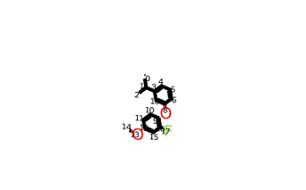 [CH2]C(C)c1cccc(Oc2ccc(OC)cc2F)c1